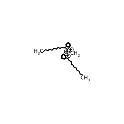 C=C(S(=O)(=O)c1ccccc1CCCCCCCCCCCC)S(=O)(=O)c1ccccc1CCCCCCCCCCCC